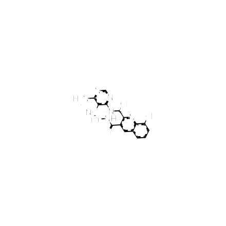 CC(C)NC(=O)c1cc2cccc(Cl)c2nc1[C@H](C)Nc1ncnc(N)c1C#N